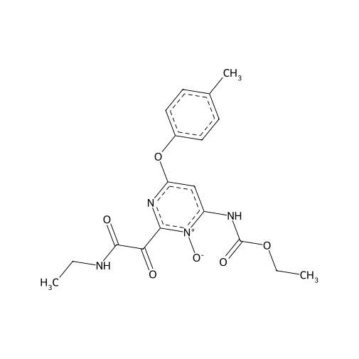 CCNC(=O)C(=O)c1nc(Oc2ccc(C)cc2)cc(NC(=O)OCC)[n+]1[O-]